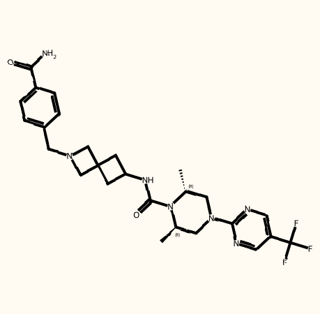 C[C@@H]1CN(c2ncc(C(F)(F)F)cn2)C[C@@H](C)N1C(=O)NC1CC2(C1)CN(Cc1ccc(C(N)=O)cc1)C2